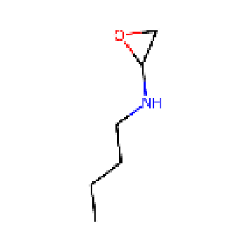 CCCCNC1CO1